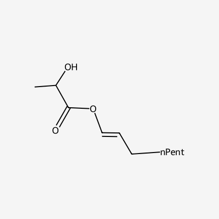 CCCCCCC=COC(=O)C(C)O